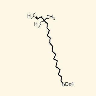 C=CCC(C)(C)CCCCCCCCCCCCCCCCCCCCCCCCCC